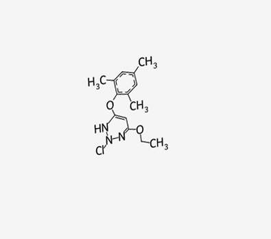 CCOC1=NN(Cl)NC(Oc2c(C)cc(C)cc2C)=C1